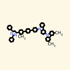 Cc1ccc2c(c1)c1cc(C)ccc1n2-c1ccc2c(c1)c1ccccc1n2-c1ccc(-c2ccc(-c3ccc(-c4cc(-c5ccccc5)nc(-c5ccccc5)n4)c(C)c3)cc2)cc1